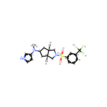 CN(c1cc[nH]c1)C1C[C@@H]2CN(S(=O)(=O)c3cccc(C(F)(F)F)c3)C[C@@H]2C1